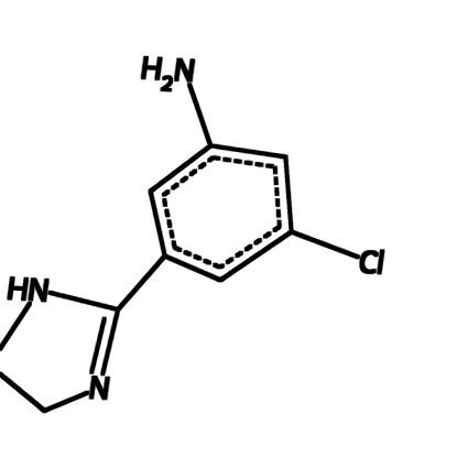 Nc1cc(Cl)cc(C2=NCCN2)c1